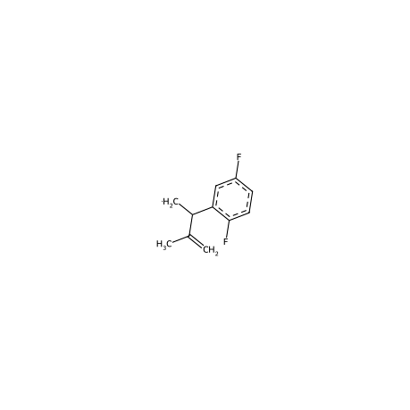 [CH2]C(C(=C)C)c1cc(F)ccc1F